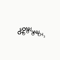 CCCNC(=O)CCCC(=O)Nc1ccc2sc3ccccc3c(=O)c2c1